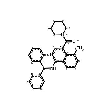 Cc1cccc2c(NC(c3ccccc3)c3ccccc3)ncc(C(=O)N3CCCCC3)c12